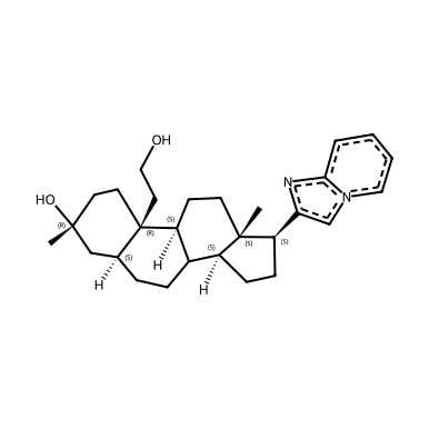 C[C@@]1(O)CC[C@@]2(CCO)[C@@H](CCC3[C@@H]4CC[C@H](c5cn6ccccc6n5)[C@@]4(C)CC[C@@H]32)C1